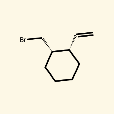 C=C[C@@H]1CCCC[C@@H]1CBr